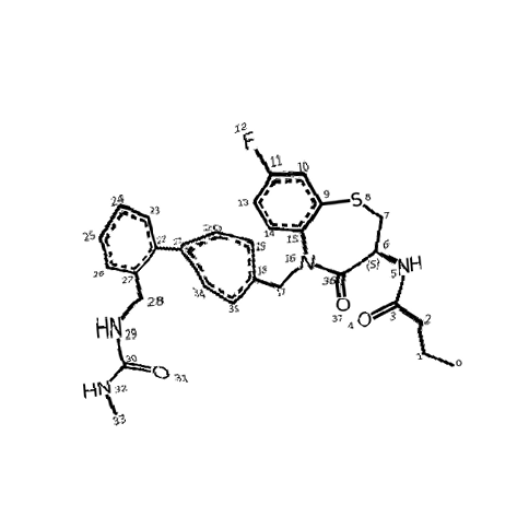 CCCC(=O)N[C@@H]1CSc2cc(F)ccc2N(Cc2ccc(-c3ccccc3CNC(=O)NC)cc2)C1=O